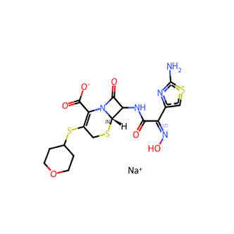 Nc1nc(/C(=N/O)C(=O)NC2C(=O)N3C(C(=O)[O-])=C(SC4CCOCC4)CS[C@@H]23)cs1.[Na+]